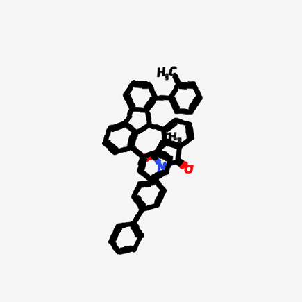 Cc1ccccc1-c1cccc2c1C(c1cccc3c1C(=O)N(c1ccc(-c4ccccc4)cc1)C3=O)c1c(-c3ccccc3C)cccc1-2